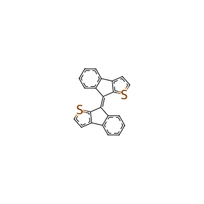 c1ccc2c(c1)C(=C1c3ccccc3-c3ccsc31)c1sccc1-2